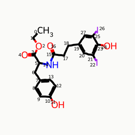 CCOC(=O)C(Cc1ccc(O)cc1)NC(=O)CCc1cc(I)c(O)c(I)c1